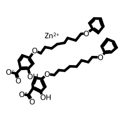 O=C([O-])c1ccc(OCCCCCCCCOc2ccccc2)cc1O.O=C([O-])c1ccc(OCCCCCCCCOc2ccccc2)cc1O.[Zn+2]